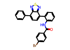 O=C(Nc1ccccc1-c1ccc(-c2ccccc2)c2nsnc12)c1ccc(Br)cc1